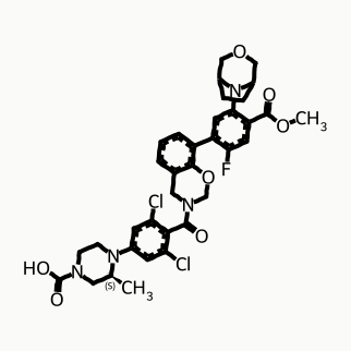 COC(=O)c1cc(F)c(-c2cccc3c2OCN(C(=O)c2c(Cl)cc(N4CCN(C(=O)O)C[C@@H]4C)cc2Cl)C3)cc1N1C2CCC1COC2